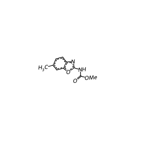 COC(=O)Nc1nc2ccc(C)cc2o1